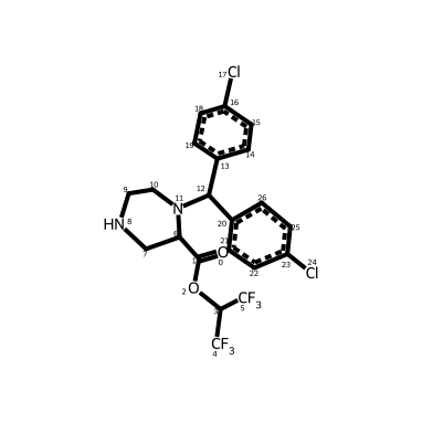 O=C(OC(C(F)(F)F)C(F)(F)F)C1CNCCN1C(c1ccc(Cl)cc1)c1ccc(Cl)cc1